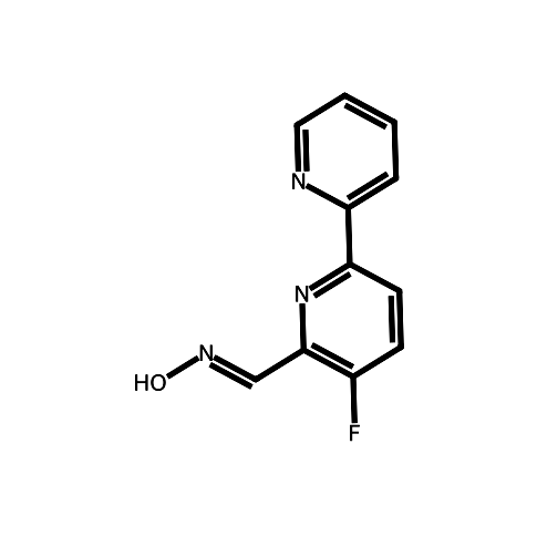 ON=Cc1nc(-c2ccccn2)ccc1F